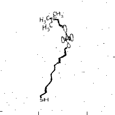 C[N+](C)(C)CCOP(=O)([O-])OCCCCCCCCCCCS